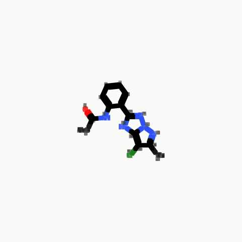 COC(=O)Nc1ccccc1-c1nn2nc(C(C)(C)C)c(Cl)c2[nH]1